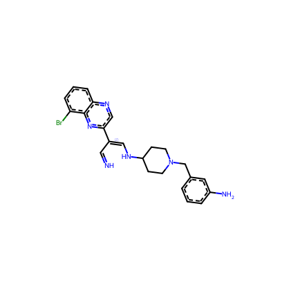 N=C/C(=C\NC1CCN(Cc2cccc(N)c2)CC1)c1cnc2cccc(Br)c2n1